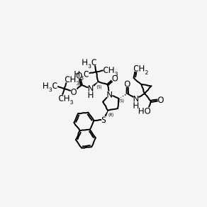 C=CC1CC1(NC(=O)[C@@H]1C[C@@H](Sc2cccc3ccccc23)CN1C(=O)[C@@H](NC(=O)OC(C)(C)C)C(C)(C)C)C(=O)O